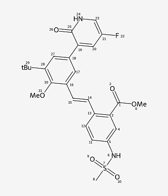 COC(=O)c1cc(NS(C)(=O)=O)ccc1C=Cc1cc(-c2cc(F)c[nH]c2=O)cc(C(C)(C)C)c1OC